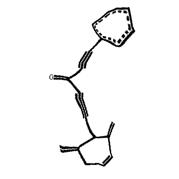 C=C1C=CCC(=C)C1C#CC(=O)C#Cc1ccccc1